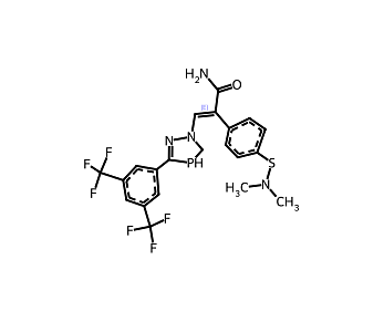 CN(C)Sc1ccc(/C(=C\N2CPC(c3cc(C(F)(F)F)cc(C(F)(F)F)c3)=N2)C(N)=O)cc1